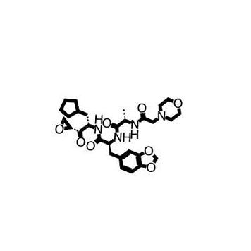 C[C@H](NC(=O)CN1CCOCC1)C(=O)N[C@@H](Cc1ccc2c(c1)OCO2)C(=O)N[C@@H](CC1CCCC1)C(=O)[C@H]1CO1